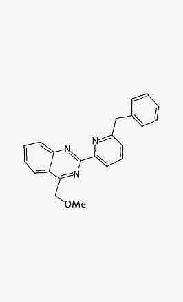 COCc1nc(-c2cccc(Cc3ccccc3)n2)nc2ccccc12